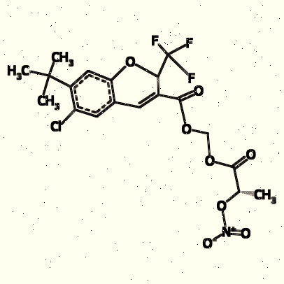 C[C@H](O[N+](=O)[O-])C(=O)OCOC(=O)C1=Cc2cc(Cl)c(C(C)(C)C)cc2OC1C(F)(F)F